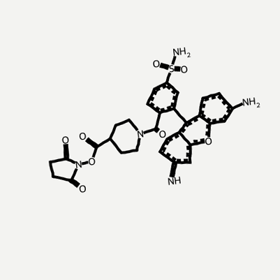 N=c1ccc2c(-c3cc(S(N)(=O)=O)ccc3C(=O)N3CCC(C(=O)ON4C(=O)CCC4=O)CC3)c3ccc(N)cc3oc-2c1